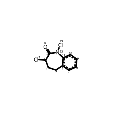 O=C1C(Cl)CCc2ccccc2N1Cl